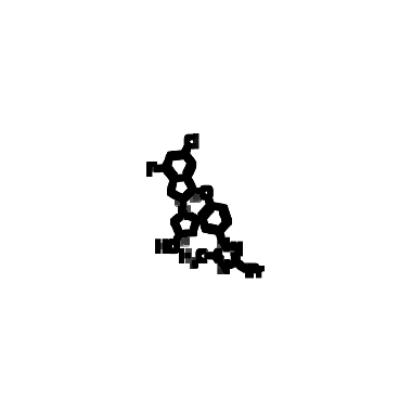 Cc1nc(C(C)C)nn1-c1ccc(O[C@H]2c3cc(Cl)cc(F)c3C[C@@H]2N2CC[C@@H](O)C2)cc1